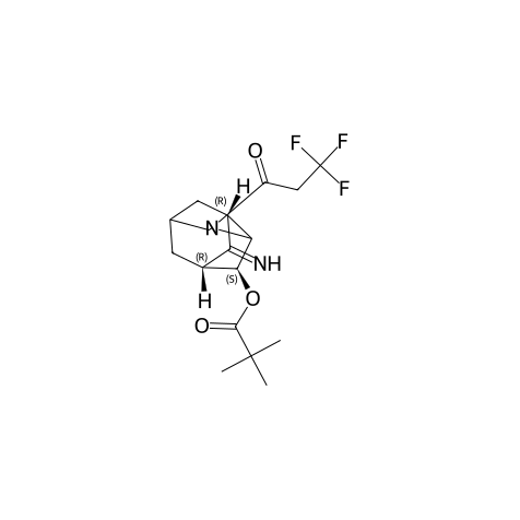 CC(C)(C)C(=O)O[C@@H]1C2[C@H]3CC(C[C@@H]1C3=N)CN2C(=O)CC(F)(F)F